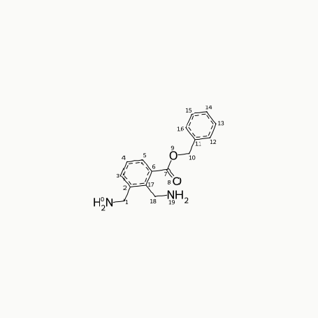 NCc1cccc(C(=O)OCc2ccccc2)c1CN